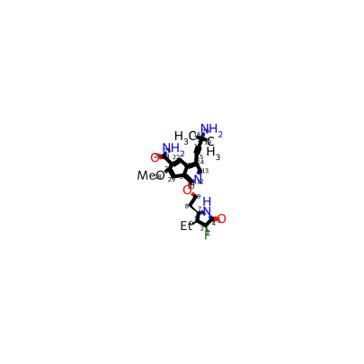 CC[C@@H]1[C@H](F)C(=O)N[C@@H]1CCOc1ncc(C#CC(C)(C)N)c2cc(C(N)=O)c(OC)cc12